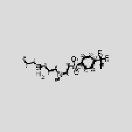 CCC[SiH2]CCCN(C)CCS(=O)(=O)c1ccc(C(F)(F)F)cc1